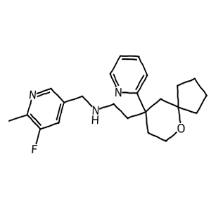 Cc1ncc(CNCCC2(c3ccccn3)CCOC3(CCCC3)C2)cc1F